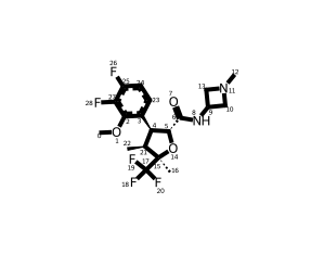 COc1c([C@H]2[C@H](C(=O)NC3CN(C)C3)O[C@@](C)(C(F)(F)F)[C@H]2C)ccc(F)c1F